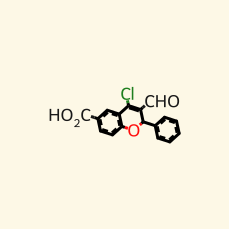 O=CC1=C(Cl)c2cc(C(=O)O)ccc2OC1c1ccccc1